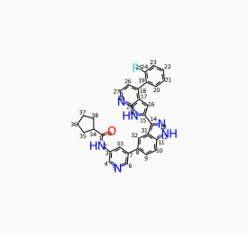 O=C(Nc1cncc(-c2ccc3[nH]nc(-c4cc5c(-c6ccccc6F)ccnc5[nH]4)c3c2)c1)C1CCCC1